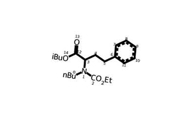 CCCCN(C(=O)OCC)C(CCc1ccccc1)C(=O)OCC(C)C